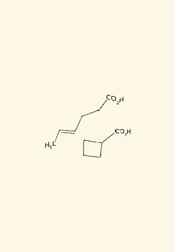 CC=CCCC(=O)O.O=C(O)C1CCC1